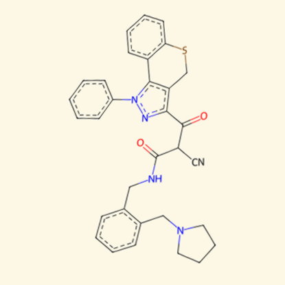 N#CC(C(=O)NCc1ccccc1CN1CCCC1)C(=O)c1nn(-c2ccccc2)c2c1CSc1ccccc1-2